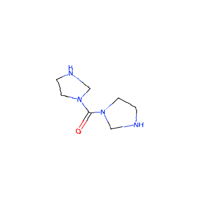 O=C(N1CCNC1)N1CCNC1